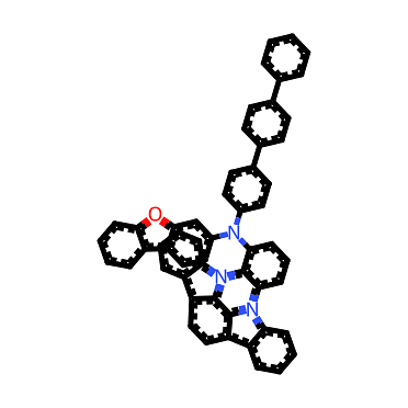 c1ccc(-c2ccc(-c3ccc(N(c4ccc5c(c4)oc4ccccc45)c4cccc5c4n4c6ccccc6c6ccc7c8ccccc8n5c7c64)cc3)cc2)cc1